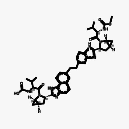 COC(=O)N[C@H](C(=O)N1[C@@H]2C[C@H]2C[C@H]1c1nc2cc(CCc3ccc4c(ccc5nc([C@@H]6C[C@H]7C[C@H]7N6C(=O)[C@@H](NC(=O)O)C(C)C)[nH]c54)c3)ccc2[nH]1)C(C)C